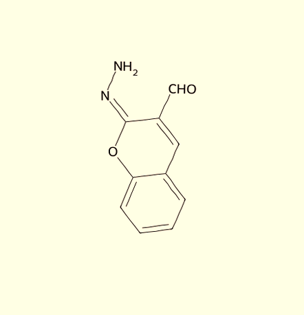 NN=c1oc2ccccc2cc1C=O